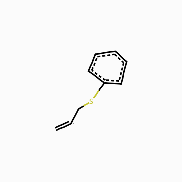 C=[C]CSc1ccccc1